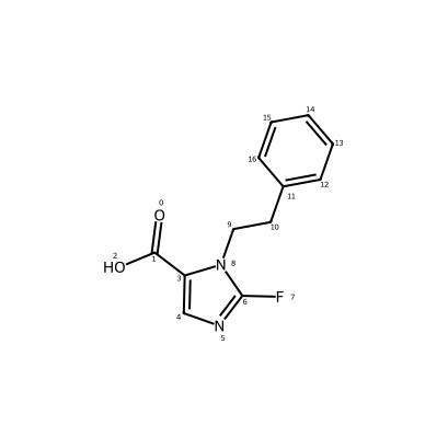 O=C(O)c1cnc(F)n1CCc1ccccc1